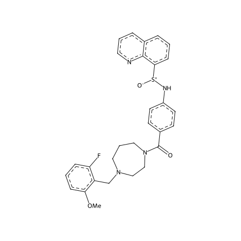 COc1cccc(F)c1CN1CCCN(C(=O)c2ccc(N[S+]([O-])c3cccc4cccnc34)cc2)CC1